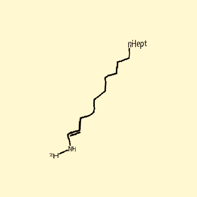 [2H]NC=CCCCCCCCCCCCCCCC